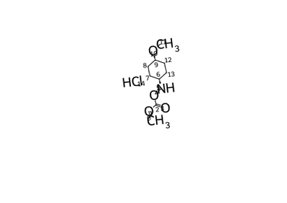 COC(=O)ON[C@H]1CC[C@@H](OC)CC1.Cl